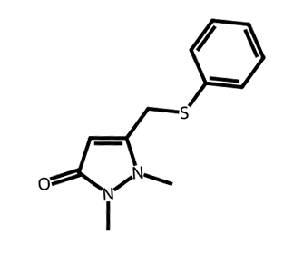 Cn1c(CSc2ccccc2)cc(=O)n1C